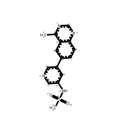 Cc1ncnc2ccc(-c3cncc(NS(C)(=O)=O)c3)cc12